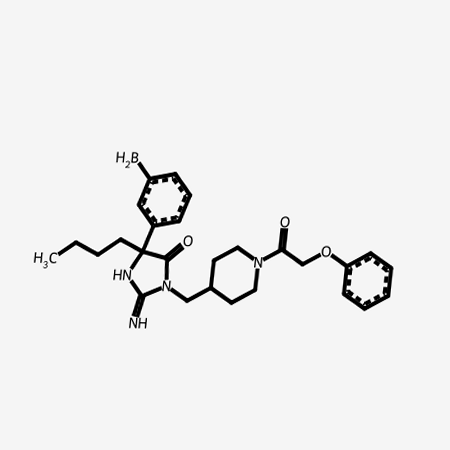 Bc1cccc(C2(CCCC)NC(=N)N(CC3CCN(C(=O)COc4ccccc4)CC3)C2=O)c1